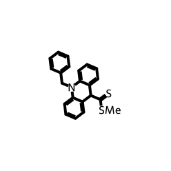 CSC(=S)C1c2ccccc2N(Cc2ccccc2)c2ccccc21